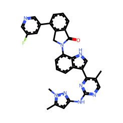 Cc1cnc(Nc2cc(C)n(C)n2)nc1-c1c[nH]c2c(N3Cc4c(cccc4-c4cncc(F)c4)C3=O)cccc12